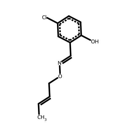 CC=CCON=Cc1cc(Cl)ccc1O